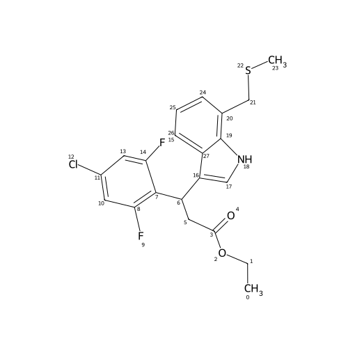 CCOC(=O)CC(c1c(F)cc(Cl)cc1F)c1c[nH]c2c(CSC)cccc12